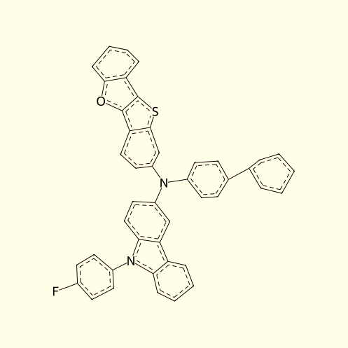 Fc1ccc(-n2c3ccccc3c3cc(N(c4ccc(-c5ccccc5)cc4)c4ccc5c(c4)sc4c6ccccc6oc54)ccc32)cc1